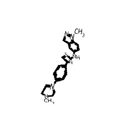 CN1CCN(c2ccc(-c3csc(Nc4ccc5c(cnn5C)c4)n3)cc2)CC1